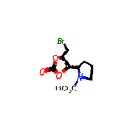 O=C(O)N1CCCC1c1oc(=O)oc1CBr